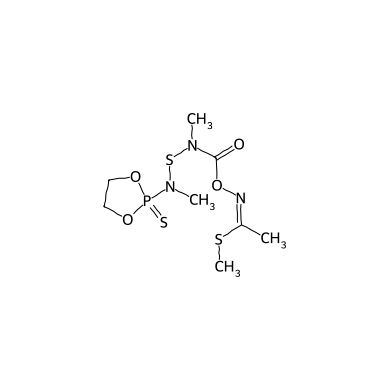 CSC(C)=NOC(=O)N(C)SN(C)P1(=S)OCCO1